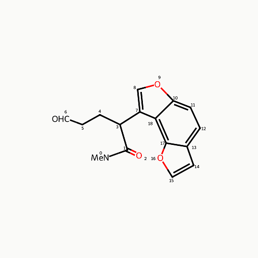 CNC(=O)C(CCC=O)c1coc2ccc3ccoc3c12